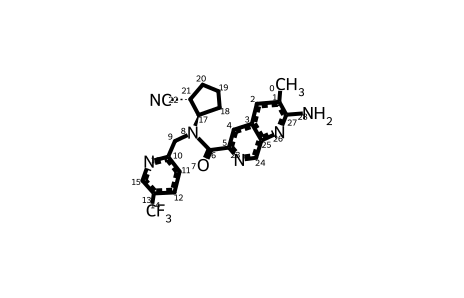 Cc1cc2cc(C(=O)N(Cc3ccc(C(F)(F)F)cn3)[C@@H]3CCC[C@H]3C#N)ncc2nc1N